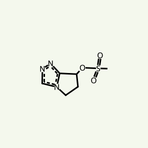 CS(=O)(=O)OC1CCn2cnnc21